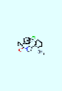 Cc1cccc(C)c1C1CCN(C(=O)C2(c3ccc(Cl)cc3)CC2)C1